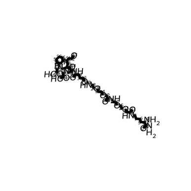 NC(=O)[C@@H](N)CCCCNC(=O)COCCOCCNC(=O)COCCOCCNCOCCCC(=O)NCCC1(N(CC=O)CC(=O)O)CN(CC=O)C2CCCC[C@@H]2N(CC(=O)O)C1